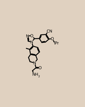 Cc1c(N2C=NOC2c2ccc(OC(C)C)c(C#N)c2)ccc2c1CCN(C(=O)CN)C2